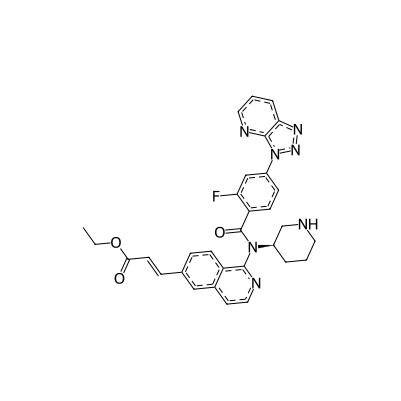 CCOC(=O)C=Cc1ccc2c(N(C(=O)c3ccc(-n4nnc5cccnc54)cc3F)[C@@H]3CCCNC3)nccc2c1